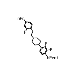 CCCCCc1ccc(C2CCC(CCc3ccc(CCC)cc3F)CC2)c(F)c1F